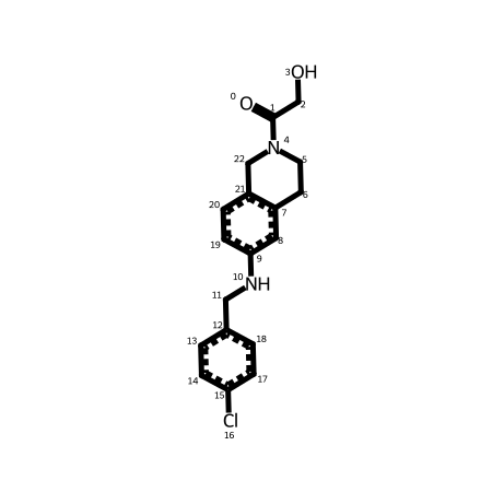 O=C(CO)N1CCc2cc(NCc3ccc(Cl)cc3)ccc2C1